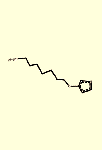 CCCCCCCCCCCCCCOc1ccsc1